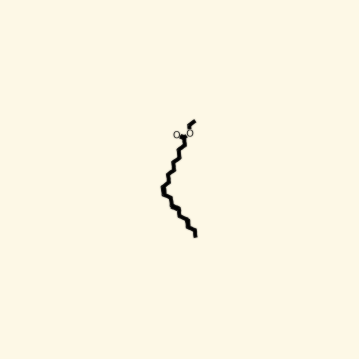 CCC=CCC=CC/C=C\CCCCCCCC(=O)OCC